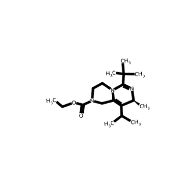 CCOC(=O)N1CCN2C(C(C)(C)C)=N[C@@H](C)C(C(C)C)=C2C1